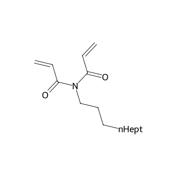 C=CC(=O)N(CCCCCCCCCC)C(=O)C=C